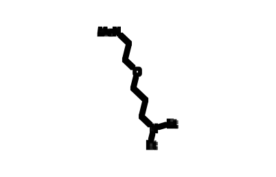 CCN(CC)CCCOCCNC